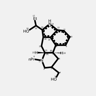 CCCN1CC(CO)C[C@@H]2c3cccc4[nH]c(C(O)CC)c(c34)C[C@H]21